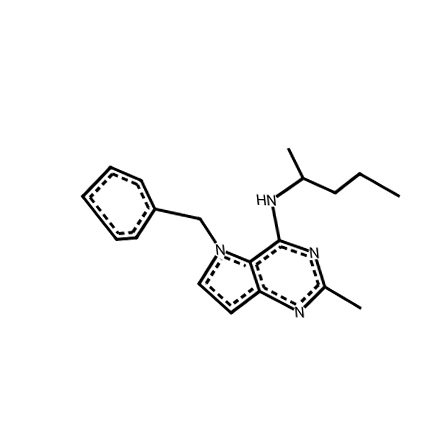 CCCC(C)Nc1nc(C)nc2ccn(Cc3ccccc3)c12